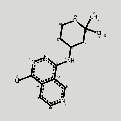 CC1(C)CC(Nc2nnc(Cl)c3ccncc23)CCO1